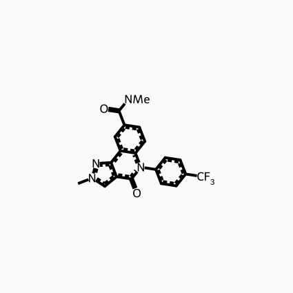 CNC(=O)c1ccc2c(c1)c1nn(C)cc1c(=O)n2-c1ccc(C(F)(F)F)cc1